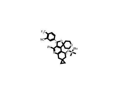 CC(C)c1nc2c(c3c1[C@H](c1ccc(C(F)(F)F)c(C#N)c1)OC31CCOCC1)[C@@H](O[Si](C)(C)C(C)(C)C)CC1(CC1)C2